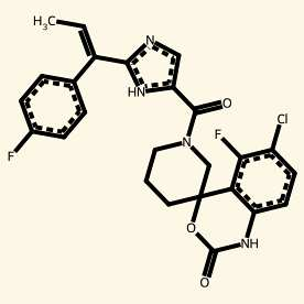 CC=C(c1ccc(F)cc1)c1ncc(C(=O)N2CCCC3(C2)OC(=O)Nc2ccc(Cl)c(F)c23)[nH]1